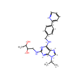 CC(O)C(O)CNc1nc(NCc2ccc(-c3ccccn3)cc2)c2ncn(C(C)C)c2n1